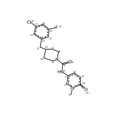 Cn1nc(NC(=O)N2CCC(Cc3cc(F)cc(Cl)c3)CC2)ccc1=O